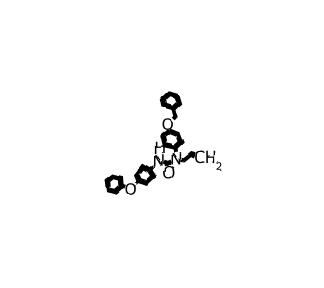 C=CCN(C(=O)Nc1ccc(Oc2ccccc2)cc1)c1ccc(OCc2ccccc2)cc1